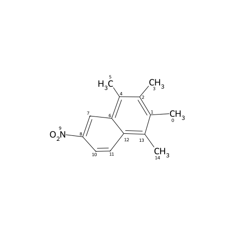 Cc1c(C)c(C)c2cc([N+](=O)[O-])ccc2c1C